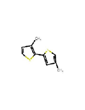 Cc1csc(-c2sccc2C)c1